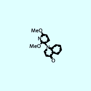 COc1ccc(-n2ccc(=O)c3ccccc32)c(OC)n1